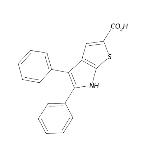 O=C(O)c1cc2c(-c3ccccc3)c(-c3ccccc3)[nH]c2s1